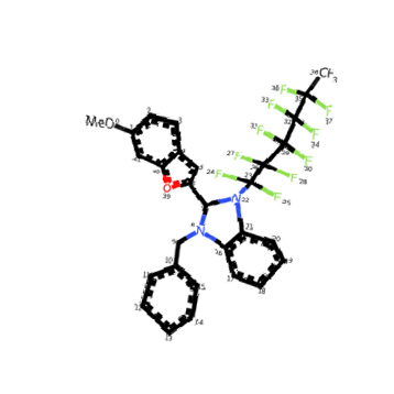 COc1ccc2cc(C3N(Cc4ccccc4)c4ccccc4N3C(F)(F)C(F)(F)C(F)(F)C(F)(F)C(F)(F)C(F)(F)F)oc2c1